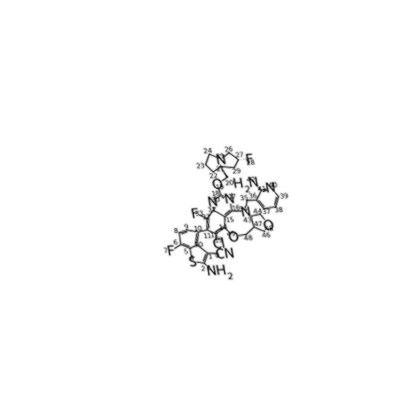 N#Cc1c(N)sc2c(F)ccc(-c3c(Cl)c4c5c(nc(OC[C@@]67CCCN6C[C@H](F)C7)nc5c3F)N(Cc3cccnc3N)C3COCC3CO4)c12